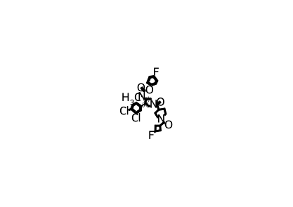 CN(C(=O)Oc1ccc(F)cc1)[C@@H]1CN(C(=O)C2CCN(C(=O)C3CC(F)C3)CC2)C[C@H]1c1ccc(Cl)c(Cl)c1